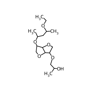 CCOC(C)CC(C)OC1COC2C(OCC(C)O)COC12